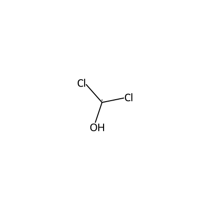 O[C](Cl)Cl